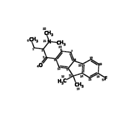 CCC(C(=O)c1ccc2c(c1)C(C)(C)c1cc(F)ccc1-2)N(C)C